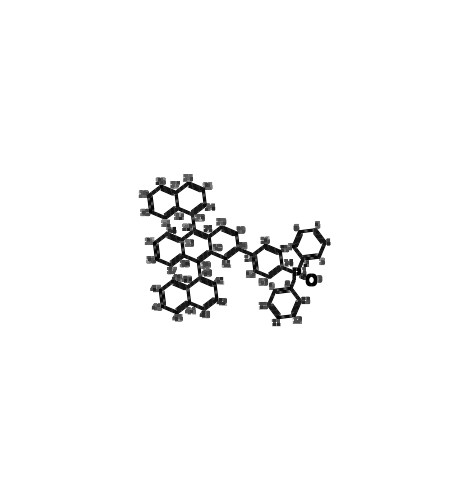 O=P(c1ccccc1)(c1ccccc1)c1ccc(-c2ccc3c(-c4cccc5ccccc45)c4ccccc4c(-c4cccc5ccccc45)c3c2)cc1